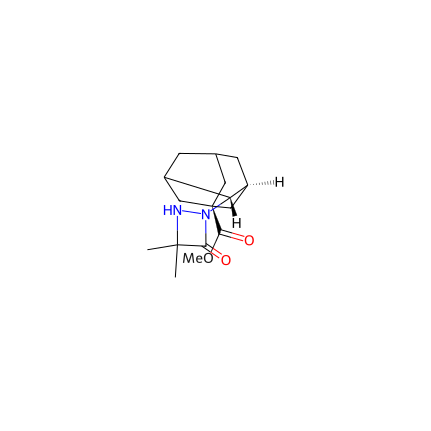 COC(=O)[C@]12CC3CC(C1)[C@@H](N1NC(C)(C)C1=O)[C@@H](C3)C2